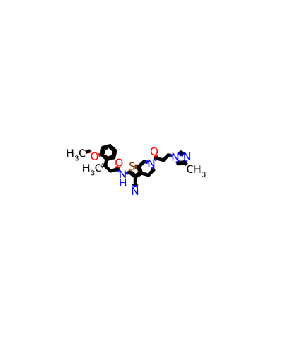 CCOc1ccccc1[C@@H](C)CC(=O)Nc1sc2c(c1C#N)CCN(C(=O)CCn1cnc(C)c1)C2